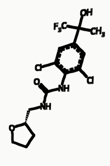 CC(O)(c1cc(Cl)c(NC(=O)NC[C@@H]2CCCO2)c(Cl)c1)C(F)(F)F